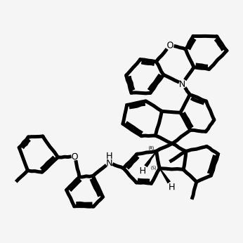 CC1C=CCC(Oc2ccccc2NC2=C[C@H]3[C@@H](C=C2)C2C(C)C=CCC2(C)C32C3=C(C(N4c5ccccc5Oc5ccccc54)=CCC3)C3C=CC=CC32)=C1